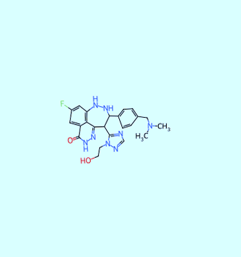 CN(C)Cc1ccc(C2NNc3cc(F)cc4c(=O)[nH]nc(c34)C2c2ncnn2CCO)cc1